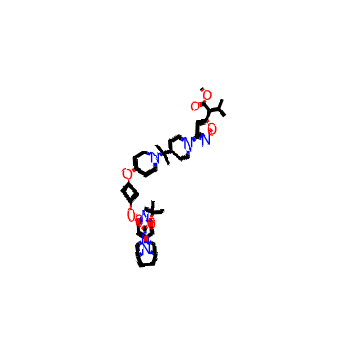 COC(=O)C(c1cc(N2CCC(C(C)(C)N3CCC(O[C@H]4C[C@H](Oc5cc(N6C7CCC6CN(C(=O)OC(C)(C)C)C7)ccn5)C4)CC3)CC2)no1)C(C)C